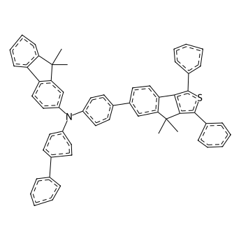 CC1(C)c2ccccc2-c2ccc(N(c3ccc(-c4ccccc4)cc3)c3ccc(-c4ccc5c(c4)C(C)(C)c4c(-c6ccccc6)sc(-c6ccccc6)c4-5)cc3)cc21